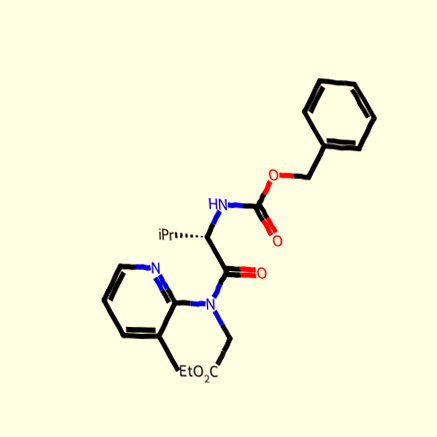 CCOC(=O)CN(C(=O)[C@@H](NC(=O)OCc1ccccc1)C(C)C)c1ncccc1C